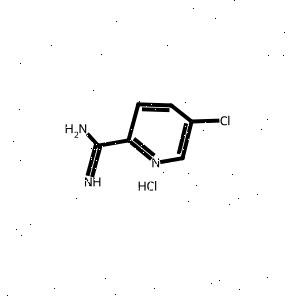 Cl.N=C(N)c1ccc(Cl)cn1